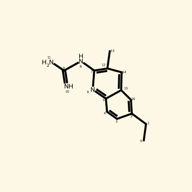 CCc1ccc2nc(NC(=N)N)c(C)cc2c1